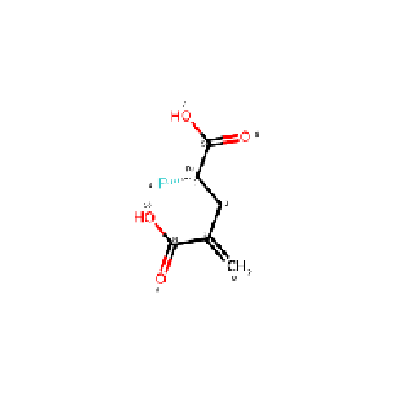 C=C(C[C@H](F)C(=O)O)C(=O)O